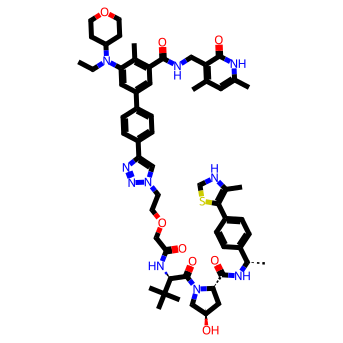 CCN(c1cc(-c2ccc(-c3cn(CCOCC(=O)N[C@H](C(=O)N4C[C@H](O)C[C@H]4C(=O)N[C@@H](C)c4ccc(C5=C(C)NCS5)cc4)C(C)(C)C)nn3)cc2)cc(C(=O)NCc2c(C)cc(C)[nH]c2=O)c1C)C1CCOCC1